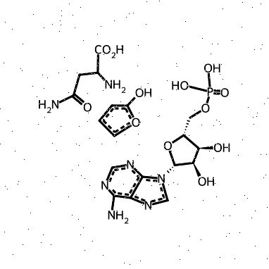 NC(=O)CC(N)C(=O)O.Nc1ncnc2c1ncn2[C@@H]1O[C@H](COP(=O)(O)O)[C@@H](O)[C@H]1O.Oc1ccco1